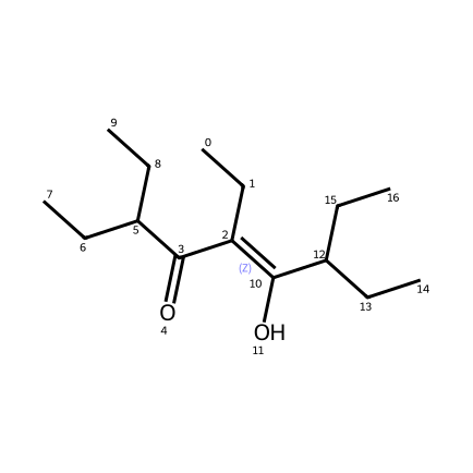 CC/C(C(=O)C(CC)CC)=C(/O)C(CC)CC